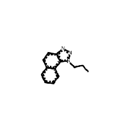 CCCn1nnc2ccc3ccccc3c21